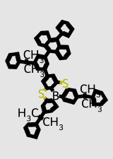 CC(C)(c1ccccc1)c1cc(C2=CC3Sc4cc(C(C)(C)c5ccccc5)ccc4B4c5ccc(C(C)(C)c6ccccc6)cc5SC(=C2)C43)cc(-c2c3ccccc3c(-c3ccccc3)c3ccccc23)c1